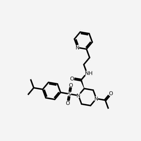 CC(=O)N1CCN(S(=O)(=O)c2ccc(C(C)C)cc2)[C@@H](C(=O)NCCc2ccccn2)C1